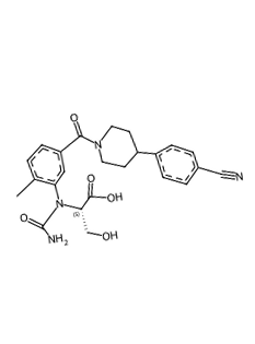 Cc1ccc(C(=O)N2CCC(c3ccc(C#N)cc3)CC2)cc1N(C(N)=O)[C@@H](CO)C(=O)O